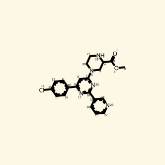 COC(=O)C1CN(c2cc(-c3ccc(Cl)cc3)nc(-c3cccnc3)n2)CCN1